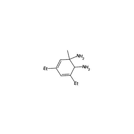 CCC1=CC(C)(N)C(N)C(CC)=C1